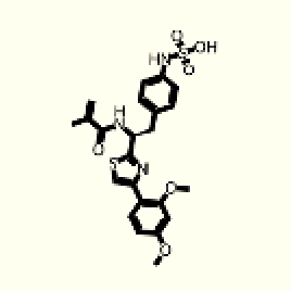 C=C(C)C(=O)N[C@@H](Cc1ccc(NS(=O)(=O)O)cc1)c1nc(-c2ccc(OC)cc2OC)cs1